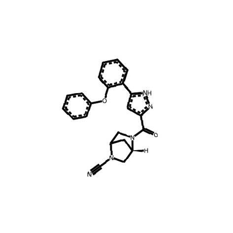 N#CN1C[C@@H]2CC1CN2C(=O)c1cc(-c2ccccc2Oc2ccccc2)[nH]n1